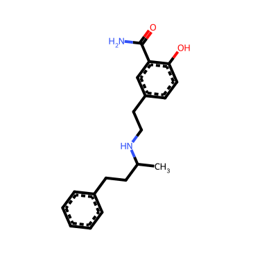 CC(CCc1ccccc1)NCCc1ccc(O)c(C(N)=O)c1